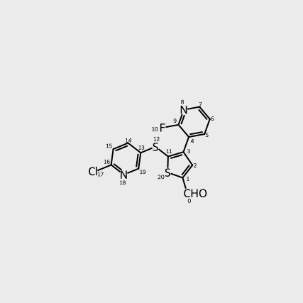 O=Cc1cc(-c2cccnc2F)c(Sc2ccc(Cl)nc2)s1